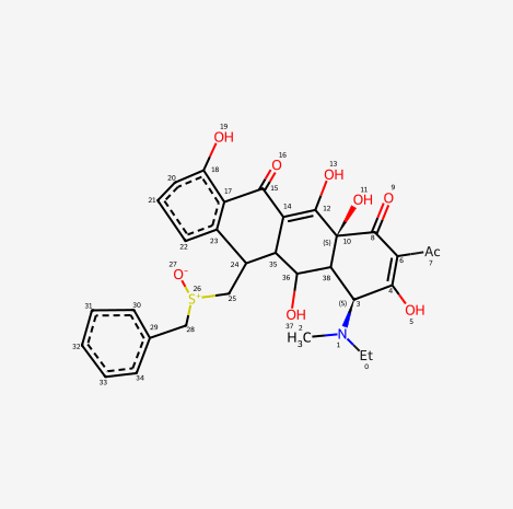 CCN(C)[C@@H]1C(O)=C(C(C)=O)C(=O)[C@@]2(O)C(O)=C3C(=O)c4c(O)cccc4C(C[S+]([O-])Cc4ccccc4)C3C(O)C12